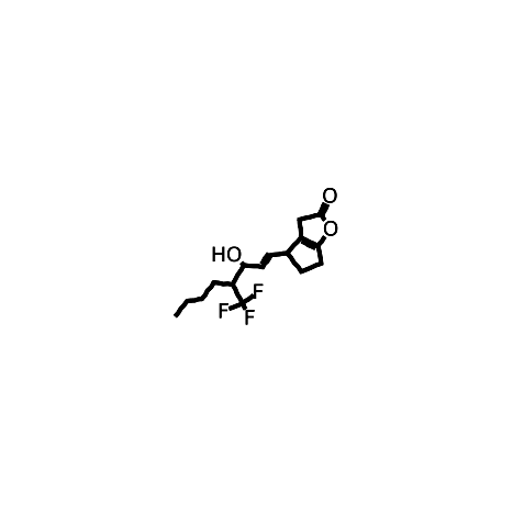 CCCCC(C(O)/C=C/C1CCC2=C1CC(=O)O2)C(F)(F)F